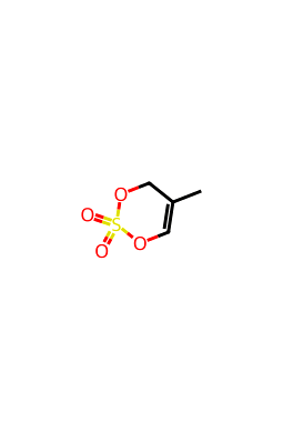 CC1=COS(=O)(=O)OC1